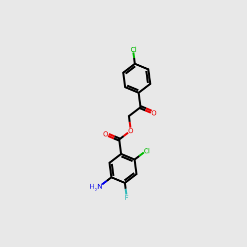 Nc1cc(C(=O)OCC(=O)c2ccc(Cl)cc2)c(Cl)cc1F